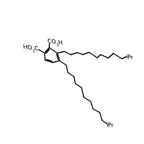 CC(C)CCCCCCCCCCc1ccc(C(=O)O)c(C(=O)O)c1CCCCCCCCCCC(C)C